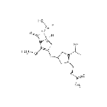 CC(=N)N1CC(SC2=C(OC(=O)O)N3C(=O)[C@H]([C@@H](C)O)[C@H]3S2)CC1COC(N)=O